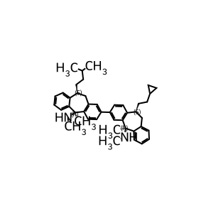 CN[C@]1(C)c2ccc(-c3ccc4c(c3)[C@](C)(NC)c3ccccc3C[C@@H]4CCC3CC3)cc2C[C@H](CCC(C)C)c2ccccc21